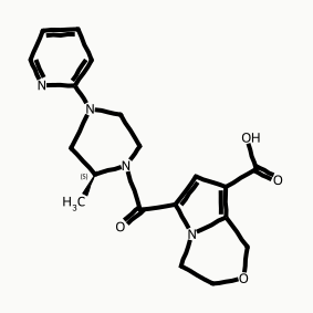 C[C@H]1CN(c2ccccn2)CCN1C(=O)c1cc(C(=O)O)c2n1CCOC2